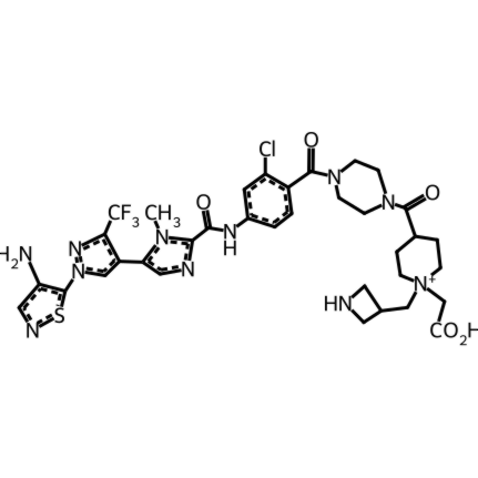 Cn1c(-c2cn(-c3sncc3N)nc2C(F)(F)F)cnc1C(=O)Nc1ccc(C(=O)N2CCN(C(=O)C3CC[N+](CC(=O)O)(CC4CNC4)CC3)CC2)c(Cl)c1